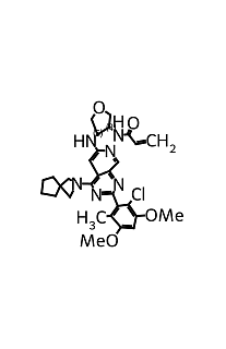 C=CC(=O)N[C@H]1COC[C@H]1Nc1cc2c(N3CC4(CCCC4)C3)nc(-c3c(C)c(OC)cc(OC)c3Cl)nc2cn1